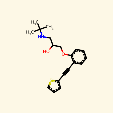 CC(C)(C)NCC(O)COc1ccccc1C#Cc1cccs1